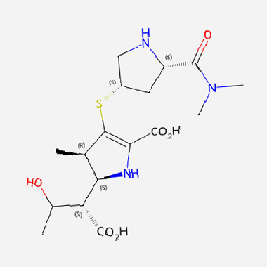 CC(O)[C@@H](C(=O)O)[C@@H]1NC(C(=O)O)=C(S[C@@H]2CN[C@H](C(=O)N(C)C)C2)[C@@H]1C